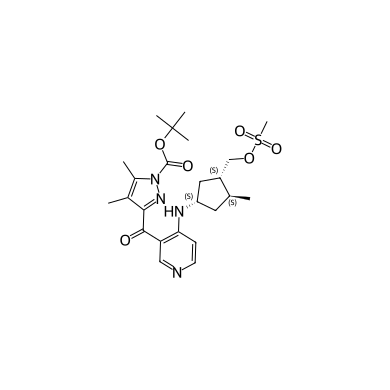 Cc1c(C(=O)c2cnccc2N[C@@H]2C[C@H](COS(C)(=O)=O)[C@@H](C)C2)nn(C(=O)OC(C)(C)C)c1C